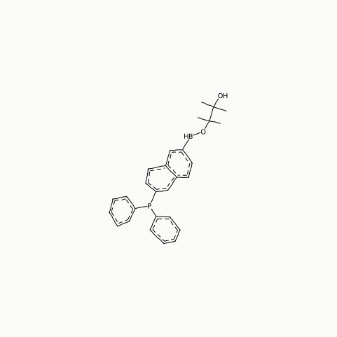 CC(C)(O)C(C)(C)OBc1ccc2cc(P(c3ccccc3)c3ccccc3)ccc2c1